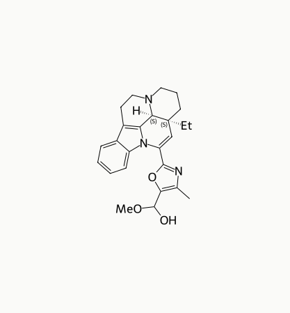 CC[C@@]12C=C(c3nc(C)c(C(O)OC)o3)n3c4c(c5ccccc53)CCN(CCC1)[C@H]42